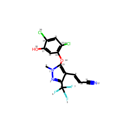 Cn1nc(C(F)(F)F)c(/C=C/C#N)c1Oc1cc(O)c(Cl)cc1Cl